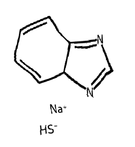 C1=CC2=NC=NC2C=C1.[Na+].[SH-]